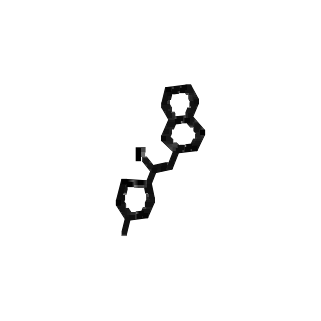 Cc1ccc(C(F)=Cc2ccc3ccccc3c2)cc1